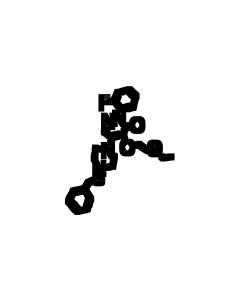 CCOCCOc1c(N2CCN(SCc3ccccc3)CC2)cnn(-c2ccccc2F)c1=O